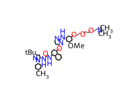 COc1cc(Nc2nccc(Oc3ccc(NC(=O)Nc4cc(C(C)(C)C)nn4-c4ccc(C)cc4)c4ccccc34)n2)cc(OCCOCCOCCN(C)C)c1